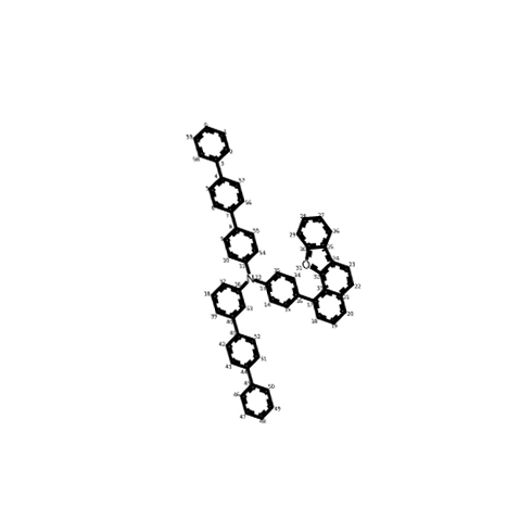 c1ccc(-c2ccc(-c3ccc(N(c4ccc(-c5cccc6ccc7c8ccccc8oc7c56)cc4)c4cccc(-c5ccc(-c6ccccc6)cc5)c4)cc3)cc2)cc1